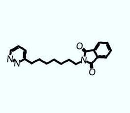 O=C1c2ccccc2C(=O)N1CCCCCCCc1cccnn1